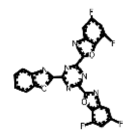 Fc1cc(F)c2oc(-c3nc(-c4nc5ccccc5o4)nc(-c4nc5cc(F)cc(F)c5o4)n3)nc2c1